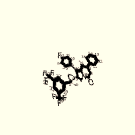 C[C@@H](OC1CN2C(=O)CC(c3ccccc3)CC2[C@@H]1c1ccc(F)cc1)c1cc(C(F)(F)F)cc(C(F)(F)F)c1